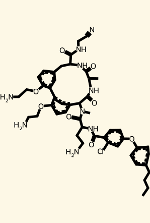 CCCCc1ccc(Oc2ccc(C(=O)NC(CCN)C(=O)N(C)C3C(=O)NC(C)C(=O)NC(C(=O)NCC#N)Cc4ccc(OCCN)c(c4)-c4cc3ccc4OCCN)c(Cl)c2)cc1